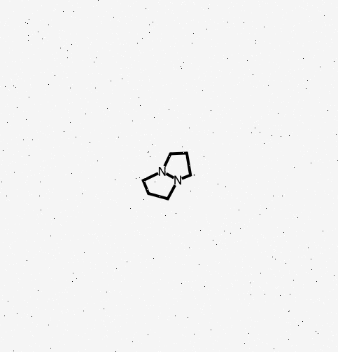 [CH]1CCN2CCCN12